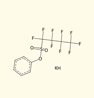 O=S(=O)(Oc1ccccc1)C(F)(F)C(F)(F)C(F)(F)C(F)(F)F.[KH]